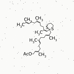 CC(=O)OCC=C(C)CCC=C(C)CCC=C(C)CC1(C=C(C)CCC=C(C)CCC=C(C)C)SCCCS1